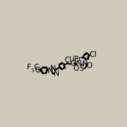 CC(C)c1ccc(Cl)cc1N1C(=O)CS/C1=N\C(=O)OCC(Cl)c1ccc(-c2ncn(-c3ccc(OC(F)(F)F)cc3)n2)cc1